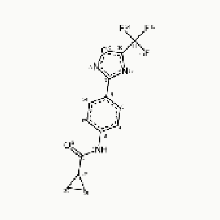 O=C(Nc1ccc(-c2noc(C(F)(F)F)n2)cc1)C1CC1